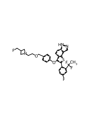 CC(F)(F)c1cc(F)ccc1-c1sc2c(ccc3[nH]ncc32)c1Oc1ccc(COCCN2CC(CF)C2)cc1